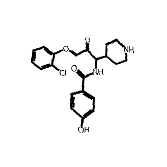 O=C(NC(C(=O)COc1ccccc1Cl)C1CCNCC1)c1ccc(O)cc1